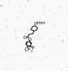 CCCCCCC1CCC(CCC(=O)Oc2ccc(C(F)(F)F)c(F)c2)CC1